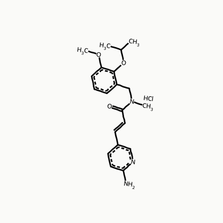 COc1cccc(CN(C)C(=O)C=Cc2ccc(N)nc2)c1OC(C)C.Cl